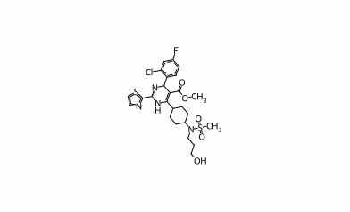 COC(=O)C1=C(C2CCC(N(CCCO)S(C)(=O)=O)CC2)NC(c2nccs2)=NC1c1ccc(F)cc1Cl